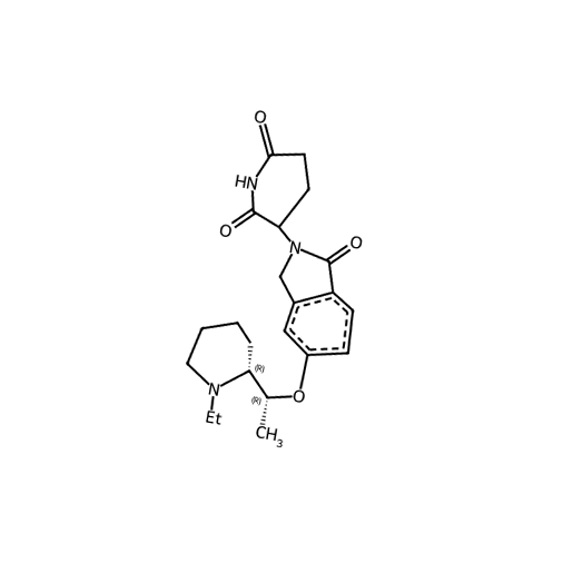 CCN1CCCC[C@@H]1[C@@H](C)Oc1ccc2c(c1)CN(C1CCC(=O)NC1=O)C2=O